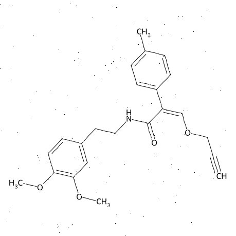 C#CCO/C=C(\C(=O)NCCc1ccc(OC)c(OC)c1)c1ccc(C)cc1